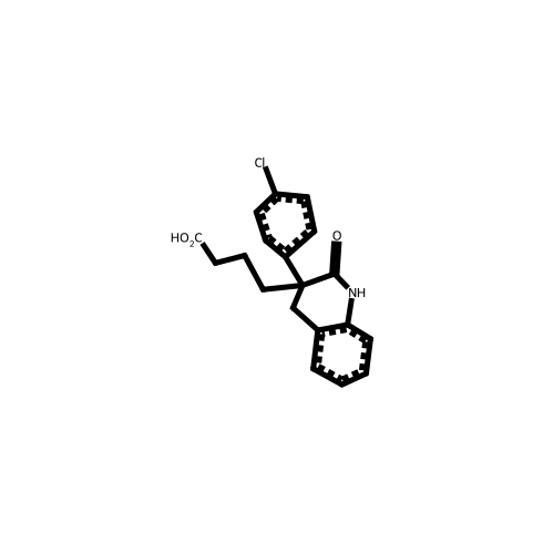 O=C(O)CCCC1(c2ccc(Cl)cc2)Cc2ccccc2NC1=O